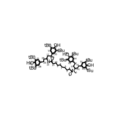 CN(C(=O)CCCCCCCCC(=O)N(C)C(CCc1cc(C(C)(C)C)c(O)c(C(C)(C)C)c1)CCc1cc(C(C)(C)C)c(O)c(C(C)(C)C)c1)C(CCc1cc(C(C)(C)C)c(O)c(C(C)(C)C)c1)CCc1cc(C(C)(C)C)c(O)c(C(C)(C)C)c1